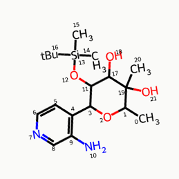 CC1OC(c2ccncc2N)C(O[Si](C)(C)C(C)(C)C)C(O)C1(C)O